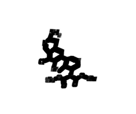 Cc1c(-c2cc3cc(N)ncc3c(Cl)c2Br)cncc1N(C(=O)OC(C)(C)C)C(=O)OC(C)(C)C